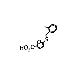 Cc1ccccc1CSc1ccc(C(=O)O)o1